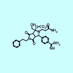 N=C(N)c1ccc(C2C3C(=O)N(CCc4ccccc4)C(=O)C3C(CO)(OC(=O)O)N2CCC(N)=O)cc1